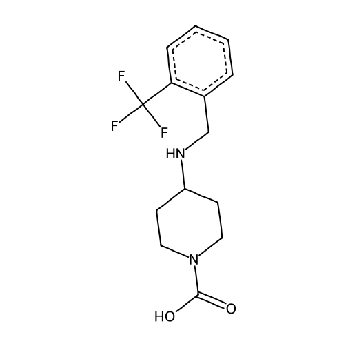 O=C(O)N1CCC(NCc2ccccc2C(F)(F)F)CC1